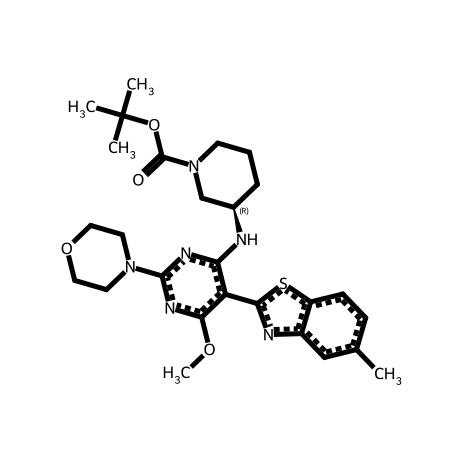 COc1nc(N2CCOCC2)nc(N[C@@H]2CCCN(C(=O)OC(C)(C)C)C2)c1-c1nc2cc(C)ccc2s1